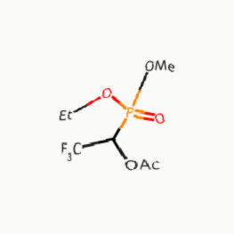 CCOP(=O)(OC)C(OC(C)=O)C(F)(F)F